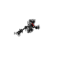 COC(=O)NC(C(=O)N[C@@H](Cc1ccc(C#Cc2cnc(N3CCNC(=O)C3)nc2)cc1)[C@@H](O)CN(NC(=O)[C@@H](NC(=O)OC)C(C)(C)C(F)(F)F)c1c(F)cc(-c2ccn(C(F)F)n2)cc1F)C(C)(C)C(F)(F)F